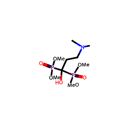 COP(=O)(OC)C(O)(CCN(C)C)P(=O)(OC)OC